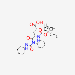 CC(C)(C)OC(=O)N[C@H](CCC(=O)O)C(=O)N(C(=O)NC1CCCCC1)C1CCCCC1